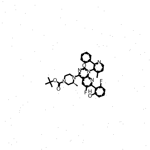 Cc1ccnc(-c2ccccc2)c1-n1c(=O)nc(N2CCN(C(=O)OC(C)(C)C)C[C@@H]2C)c2cc(F)c(-c3c(O)cccc3F)nc21